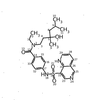 CCN(CCC(C)(O)CC(C)C)C(=O)c1ccc(NS(=O)(=O)c2cncc3cccnc23)cc1